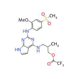 COc1cc(S(C)(=O)=O)ccc1Nc1nc(NCC(C)COC(=O)C(F)(F)F)c2cc[nH]c2n1